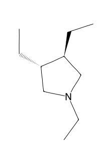 CC[C@H]1CN(CC)C[C@@H]1CC